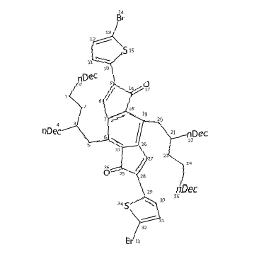 CCCCCCCCCCCCC(CCCCCCCCCC)Cc1c2cc(-c3ccc(Br)s3)c(=O)c2c(CC(CCCCCCCCCC)CCCCCCCCCCCC)c2cc(-c3ccc(Br)s3)c(=O)c12